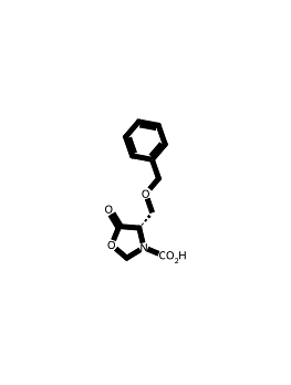 O=C1OCN(C(=O)O)[C@H]1COCc1ccccc1